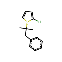 [CH2]C(C)(Cc1ccccc1)[SH]1C=CC=C1Cl